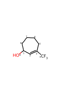 OC1C=C(C(F)(F)F)CCCC1